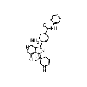 CC1(n2nc(C3=CC=C(C(=O)Nc4ccccc4)CC3)c3c(N)ncc(Cl)c32)CCCNC1